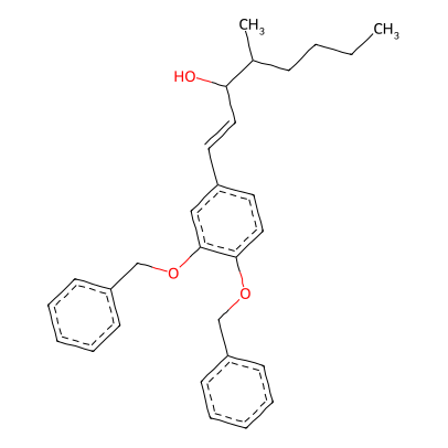 CCCCC(C)C(O)C=Cc1ccc(OCc2ccccc2)c(OCc2ccccc2)c1